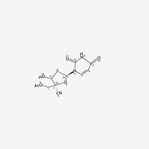 CC(=O)OC[C@]1(C#N)O[C@H](n2ccc(=O)[nH]c2=O)CC1O